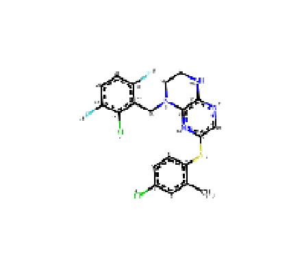 Cc1cc(Cl)ccc1Sc1cnc2c(n1)N(Cc1c(F)ccc(F)c1Cl)CCN2